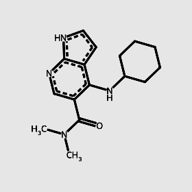 CN(C)C(=O)c1cnc2[nH]ccc2c1NC1CCCCC1